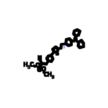 CCOP(=O)(OCC)/C(C#N)=C/c1ccc(-c2ccc(/C=C/c3ccc(N(c4ccccc4)c4ccccc4)cc3)s2)cc1